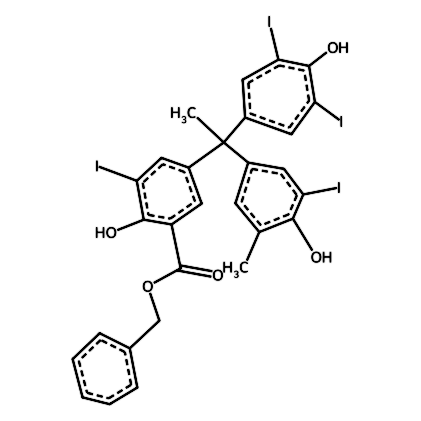 Cc1cc(C(C)(c2cc(I)c(O)c(I)c2)c2cc(I)c(O)c(C(=O)OCc3ccccc3)c2)cc(I)c1O